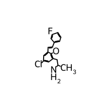 CC(N)Cc1cc(Cl)cc2cc(-c3cccc(F)c3)oc12